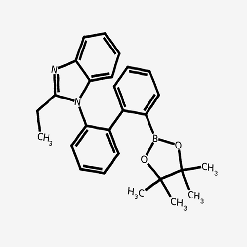 CCc1nc2ccccc2n1-c1ccccc1-c1ccccc1B1OC(C)(C)C(C)(C)O1